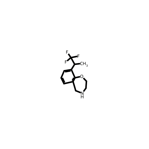 CC(c1cccc2c1OCCNC2)C(F)(F)F